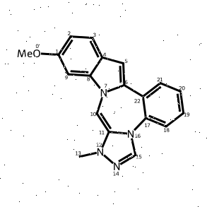 COc1ccc2cc3n(c2c1)C=C1N(C)N=CN1c1ccccc1-3